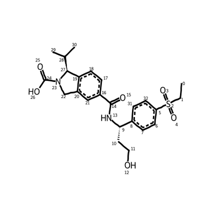 CCS(=O)(=O)c1ccc([C@H](CCO)NC(=O)c2ccc3c(c2)CN(C(=O)O)[C@H]3C(C)C)cc1